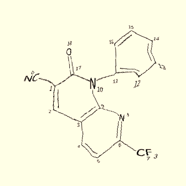 N#Cc1cc2ccc(C(F)(F)F)nc2n(-c2ccccc2)c1=O